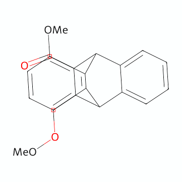 COOCC1=C(C(=O)OC)C2c3ccccc3C1c1ccccc12